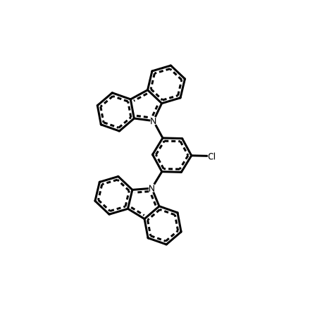 Clc1cc(-n2c3ccccc3c3ccccc32)cc(-n2c3ccccc3c3ccccc32)c1